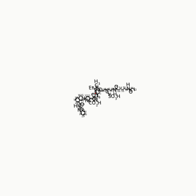 CCC1C2CC3(Cn4ncc(-c5ccc(N6CCc7cccc(C(=O)Nc8nc9ccccc9s8)c7C6)nc5C(=O)O)c4C)CC(OCCN(CCCNC(=O)CCCCCNC(=O)CI)CCS(=O)(=O)O)(C2)CC1(C)C3